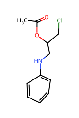 CC(=O)OC(CCl)CNc1ccccc1